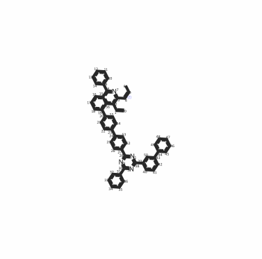 C=Cc1c(/C=C\C)nc(-c2ccccc2)c2cccc(-c3ccc(-c4ccc(-c5nc(-c6ccccc6)nc(-c6cccc(-c7ccccc7)c6)n5)cc4)cc3)c12